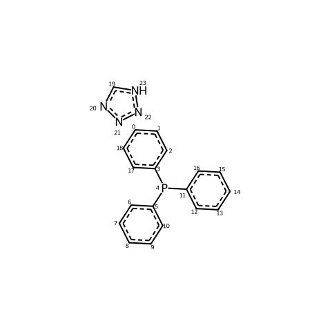 c1ccc(P(c2ccccc2)c2ccccc2)cc1.c1nnn[nH]1